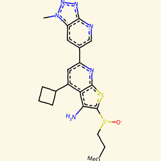 COCC[S+]([O-])c1sc2nc(-c3cnc4nnn(C)c4c3)cc(C3CCC3)c2c1N